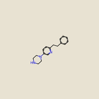 [c]1cccc(CCc2ccc(N3CCNCC3)cn2)c1